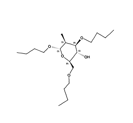 CCCCOC[C@H]1O[C@H](OCCCC)[C@@H](C)[C@@H](OCCCC)[C@@H]1O